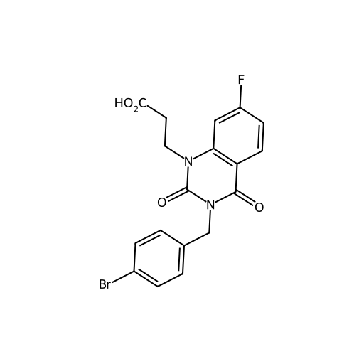 O=C(O)CCn1c(=O)n(Cc2ccc(Br)cc2)c(=O)c2ccc(F)cc21